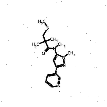 CSCC(C)(C)C(=O)N(C)c1cc(-c2cccnc2)nn1C